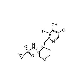 O=S(=O)(N[C@H]1COCC[C@@H]1Cc1ncc(Cl)c(O)c1F)C1CC1